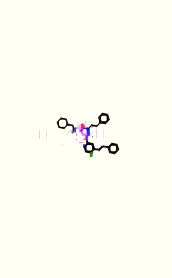 O=C(NC(CCc1ccccc1)C(=O)NC(CC1CCCCC1)C(=O)O)c1ccc(Cl)c(C=Cc2ccccc2)c1